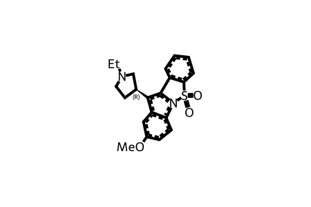 CCN1CC[C@H](c2c3n(c4ccc(OC)cc24)S(=O)(=O)c2ccccc2-3)C1